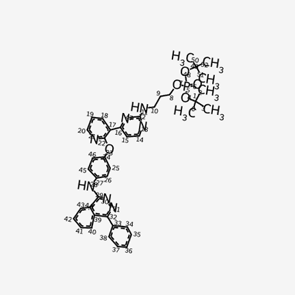 CC(C)(C)OP(=O)(OCCCNc1nccc(-c2cccnc2Oc2ccc(Nc3nnc(-c4ccccc4)c4ccccc34)cc2)n1)OC(C)(C)C